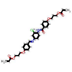 C=CC(=O)OCCCOc1ccc(/C=N/c2ccc(NC(=O)c3ccc(OCCCOC(=O)C=C)cc3)c(Cl)c2)cc1